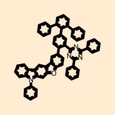 c1ccc(-c2nc(-c3ccccc3)nc(-c3cc(-c4c(-c5ccccc5)cccc4-c4ccccc4)ccc3-c3ccc4oc5cc6c(cc5c4c3)c3ccccc3n6-c3ccccc3)n2)cc1